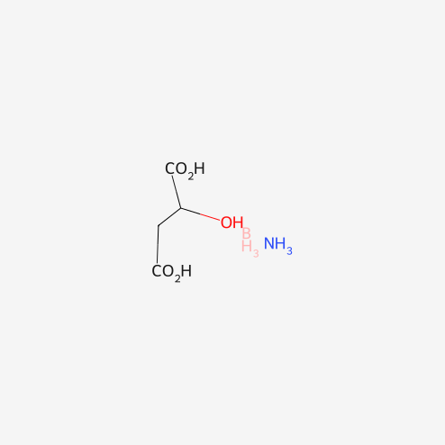 B.N.O=C(O)CC(O)C(=O)O